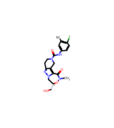 CN1O[C@H](CO)Cn2nc3c(c2C1=O)CN(C(=O)Nc1ccc(F)c(C#N)c1)CC3